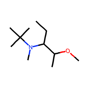 CCC(C(C)OC)N(C)C(C)(C)C